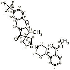 COC(=O)c1ccccc1C1CCN([C@@H]2CC[C@@]3(C2)C(=O)N2Cc4cc(C(F)(F)F)ccc4OC2C3C)CC1